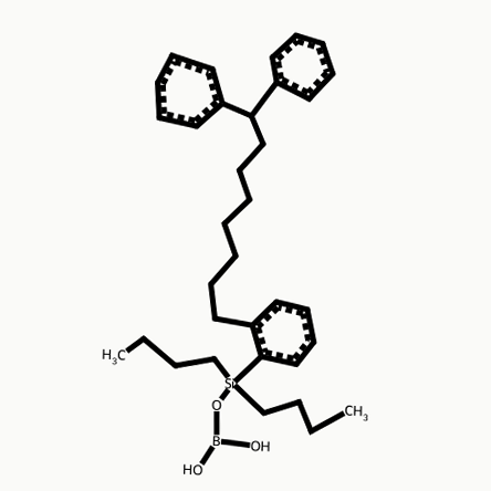 CCCC[Si](CCCC)(OB(O)O)c1ccccc1CCCCCCCC(c1ccccc1)c1ccccc1